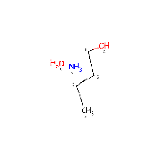 CCCCO.N.O